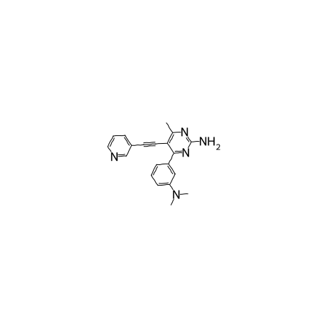 Cc1nc(N)nc(-c2cccc(N(C)C)c2)c1C#Cc1cccnc1